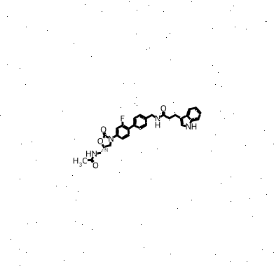 CC(=O)NC[C@H]1CN(c2ccc(-c3ccc(CNC(=O)[CH]Cc4c[nH]c5ccccc45)cc3)c(F)c2)C(=O)O1